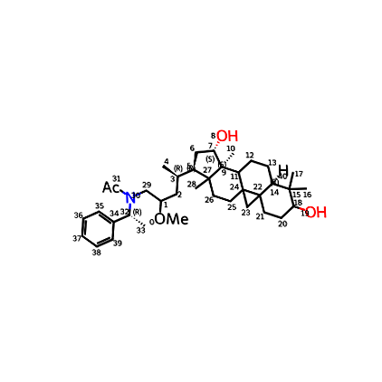 COC(C[C@@H](C)[C@H]1C[C@H](O)[C@@]2(C)C3CC[C@H]4C(C)(C)C(O)CCC45CC35CCC12C)CN(C(C)=O)[C@H](C)c1ccccc1